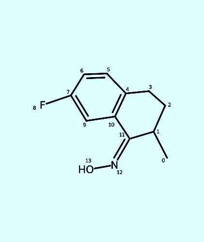 CC1CCc2ccc(F)cc2C1=NO